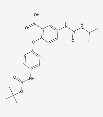 CC(C)NC(=O)Nc1ccc(Oc2ccc(NC(=O)OC(C)(C)C)cc2)c(C(=O)O)c1